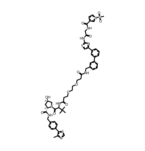 Cc1ncsc1-c1ccc(CNC(=O)[C@@H]2C[C@@H](O)CN2C(=O)C(NC(=O)CCOCCOCCC(=O)NCc2cccc(-c3cccc(-c4csc(NC(=O)CNC(=O)c5ccn(S(C)(=O)=O)c5)n4)c3)c2)C(C)(C)C)cc1